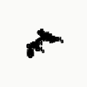 COc1cc(C(=O)N2CC3(CCOCC3)C2)ccc1NCC#Cc1cc2c(N[C@@H]3CCN(C)C[C@@H]3F)cccc2n1CC(F)(F)F